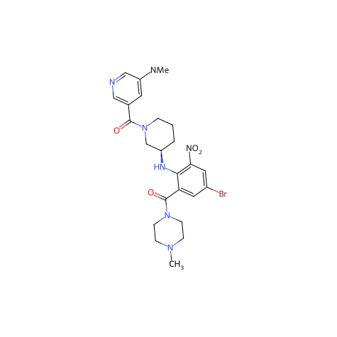 CNc1cncc(C(=O)N2CCC[C@@H](Nc3c(C(=O)N4CCN(C)CC4)cc(Br)cc3[N+](=O)[O-])C2)c1